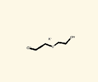 [K+].[O-]CCOCCO